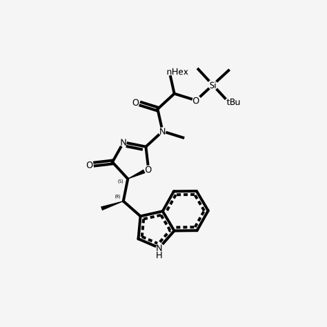 CCCCCCC(O[Si](C)(C)C(C)(C)C)C(=O)N(C)C1=NC(=O)[C@H]([C@H](C)c2c[nH]c3ccccc23)O1